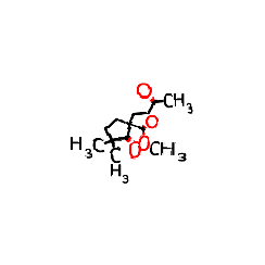 COC(=O)C1(CCC(C)=O)CCC(C)(C)C1=O